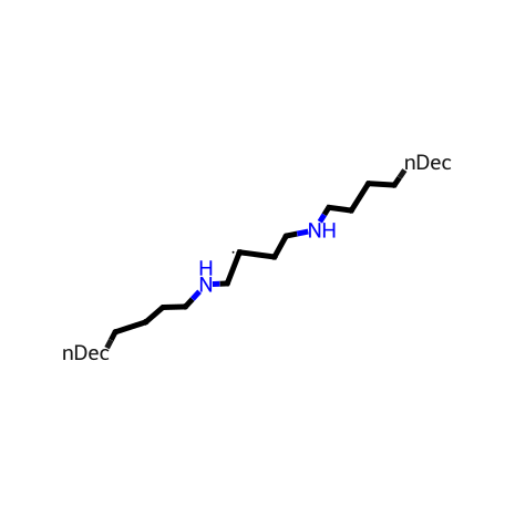 CCCCCCCCCCCCCCNC[CH]CCNCCCCCCCCCCCCCC